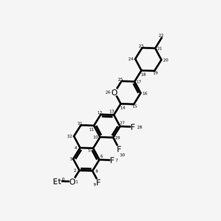 CCOc1cc2c(c(F)c1F)-c1c(cc(C3CC=C(C4CCC(C)CC4)CO3)c(F)c1F)CC2